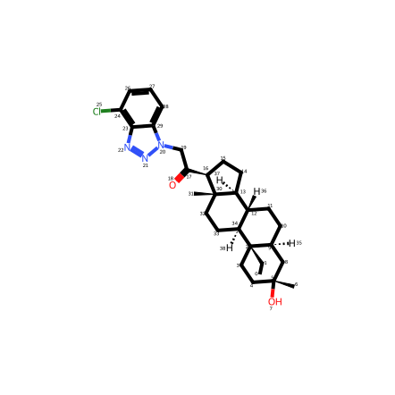 CC[C@]12CC[C@@](C)(O)C[C@@H]1CC[C@H]1[C@@H]3CC[C@H](C(=O)Cn4nnc5c(Cl)cccc54)[C@@]3(C)CC[C@@H]12